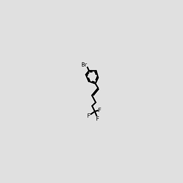 FC(F)(F)CCC=Cc1ccc(Br)cc1